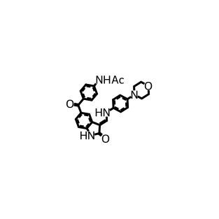 CC(=O)Nc1ccc(C(=O)c2ccc3c(c2)/C(=C\Nc2ccc(N4CCOCC4)cc2)C(=O)N3)cc1